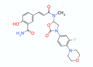 CN(C(=O)C=Cc1ccc(O)c(C(N)=O)c1)C1CN(c2ccc(N3CCOCC3)c(F)c2)C(=O)O1